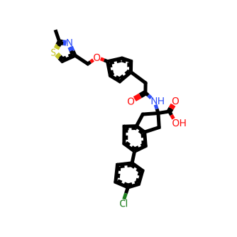 Cc1nc(COc2ccc(CC(=O)NC3(C(=O)O)Cc4ccc(-c5ccc(Cl)cc5)cc4C3)cc2)cs1